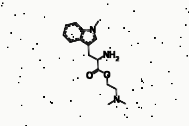 CN(C)CCOC(=O)C(N)Cc1cn(C)c2ccccc12